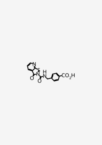 O=C(O)c1ccc(CNC(=O)n2sc3ncccc3c2=O)cc1